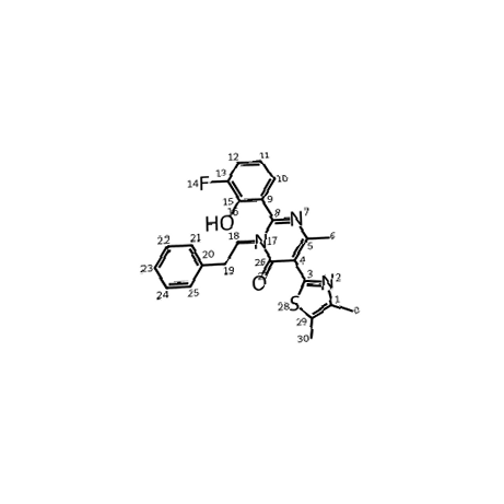 Cc1nc(-c2c(C)nc(-c3cccc(F)c3O)n(CCc3ccccc3)c2=O)sc1C